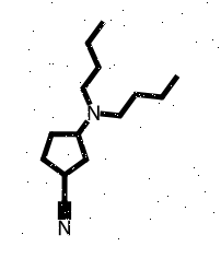 CCCCN(CCCC)C1CCC(C#N)C1